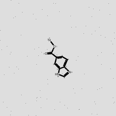 [2H]OC(=O)c1ccc2nc[nH]c2c1